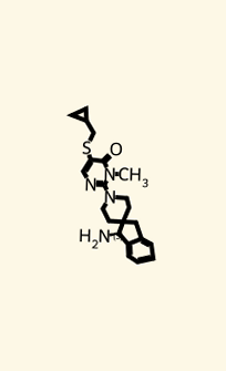 Cn1c(N2CCC3(CC2)Cc2ccccc2[C@H]3N)ncc(SCC2CC2)c1=O